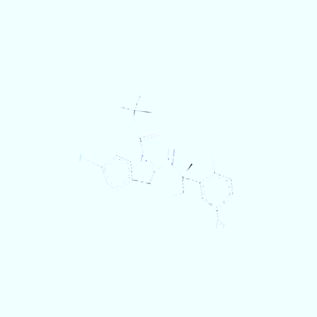 CC(C)(C)OC(=O)/N=C1\N[C@](C)(c2cc(Br)ccc2F)CS[C@@]1(C)c1ccc(F)cc1